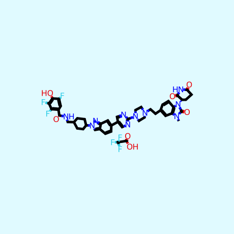 Cn1c(=O)n([C@@H]2CCC(=O)NC2=O)c2ccc(CCN3CCN(c4ncc(-c5ccc6cn(C7CCC(CNC(=O)c8cc(F)c(O)c(F)c8F)CC7)nc6c5)cn4)CC3)cc21.O=C(O)C(F)(F)F